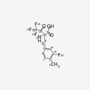 Cc1ccc(CCC(N)(C(=O)O)C(=O)C(F)(F)F)cc1F